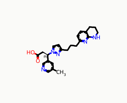 Cc1cncc([C@@H](CC(=O)O)n2ccc(CCCc3ccc4c(n3)NCCC4)n2)c1